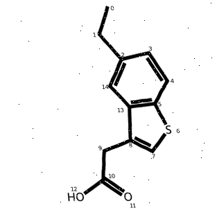 CCc1ccc2scc(CC(=O)O)c2c1